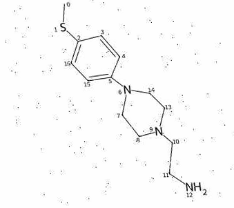 CSc1ccc(N2CCN(CCN)CC2)cc1